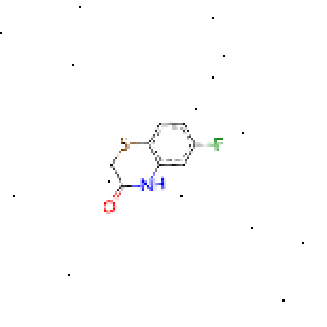 O=C1CSc2ccc(F)cc2N1